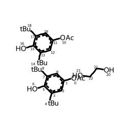 CC(=O)Oc1cc(C(C)(C)C)c(O)c(C(C)(C)C)c1.CC(=O)Oc1cc(C(C)(C)C)c(O)c(C(C)(C)C)c1.OCCO